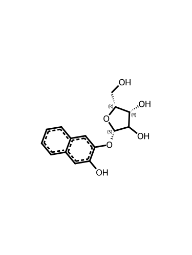 OC[C@H]1O[C@@H](Oc2cc3ccccc3cc2O)C(O)[C@H]1O